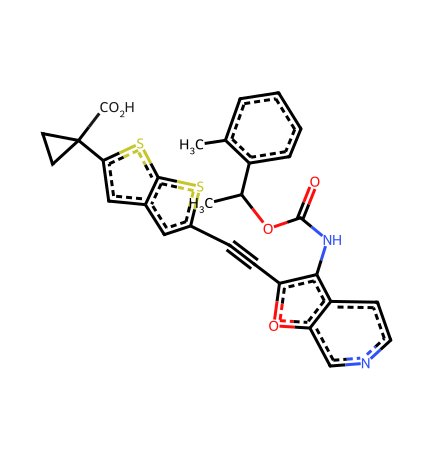 Cc1ccccc1C(C)OC(=O)Nc1c(C#Cc2cc3cc(C4(C(=O)O)CC4)sc3s2)oc2cnccc12